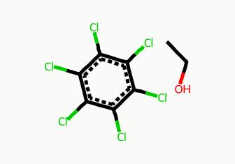 CCO.Clc1c(Cl)c(Cl)c(Cl)c(Cl)c1Cl